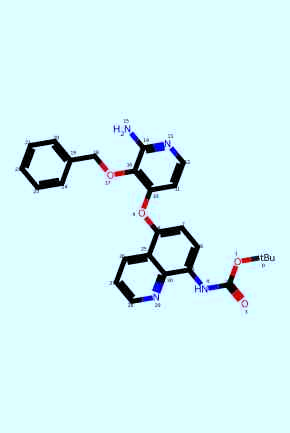 CC(C)(C)OC(=O)Nc1ccc(Oc2ccnc(N)c2OCc2ccccc2)c2cccnc12